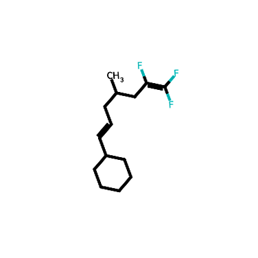 CC(CC=CC1CCCCC1)CC(F)=C(F)F